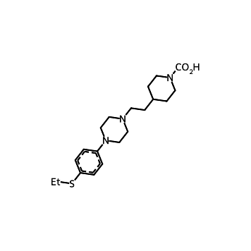 CCSc1ccc(N2CCN(CCC3CCN(C(=O)O)CC3)CC2)cc1